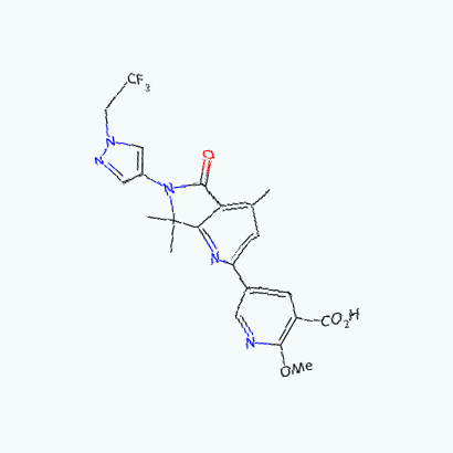 COc1ncc(-c2cc(C)c3c(n2)C(C)(C)N(c2cnn(CC(F)(F)F)c2)C3=O)cc1C(=O)O